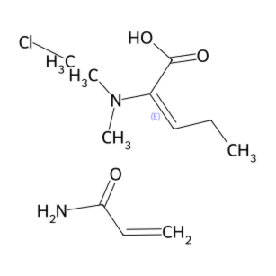 C=CC(N)=O.CC/C=C(\C(=O)O)N(C)C.CCl